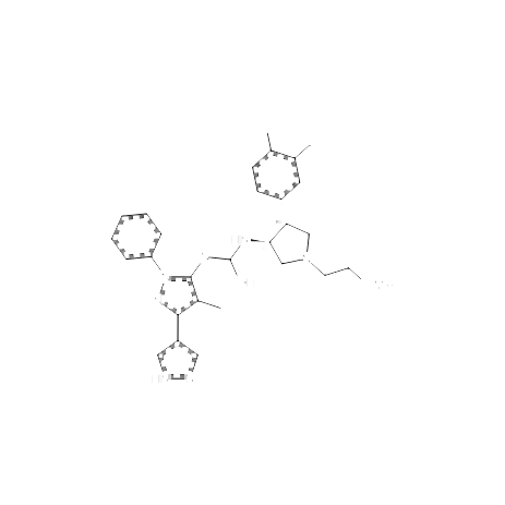 COCCN1C[C@@H](NC(O)Nc2c(C)c(-c3cn[nH]c3)nn2-c2ccccc2)[C@H](c2ccc(F)c(F)c2)C1